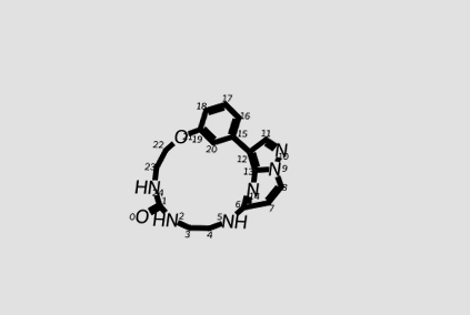 O=C1NCCNc2ccn3ncc(c3n2)-c2cccc(c2)OCCN1